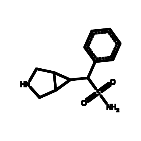 NS(=O)(=O)C(c1ccccc1)C1C2CNCC21